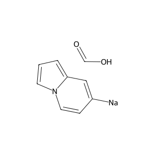 O=CO.[Na][c]1ccn2cccc2c1